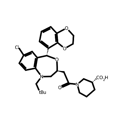 CC(C)(C)CN1C[C@H](CC(=O)N2CCC[C@@H](C(=O)O)C2)O[C@@H](c2cccc3c2OCCO3)c2cc(Cl)ccc21